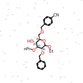 CCCO[C@H]1[C@H](O)[C@@H](COCc2ccc(C#N)cc2)OC(OCC)[C@@H]1OCc1ccccc1